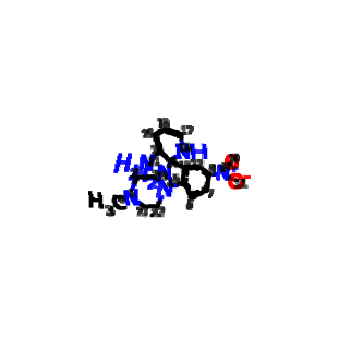 CN1CCN(c2ccc([N+](=O)[O-])cc2C2(N)NC=CC=C2N)CC1